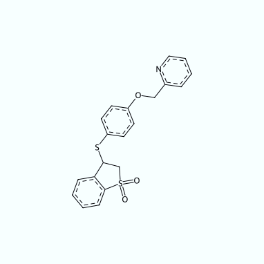 O=S1(=O)CC(Sc2ccc(OCc3ccccn3)cc2)c2ccccc21